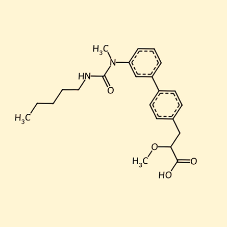 CCCCCNC(=O)N(C)c1cccc(-c2ccc(CC(OC)C(=O)O)cc2)c1